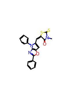 CN1C(=O)/C(=C\c2cc3oc(-c4ccccc4)nc3n2-c2ccccc2)SC1=S